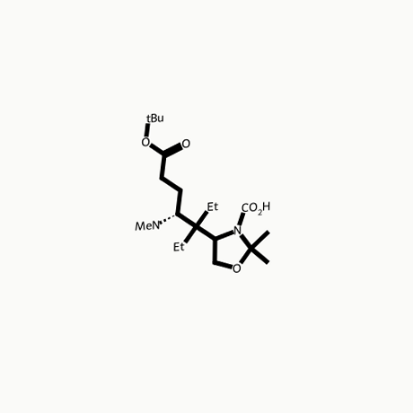 CCC(CC)(C1COC(C)(C)N1C(=O)O)[C@@H](CCC(=O)OC(C)(C)C)NC